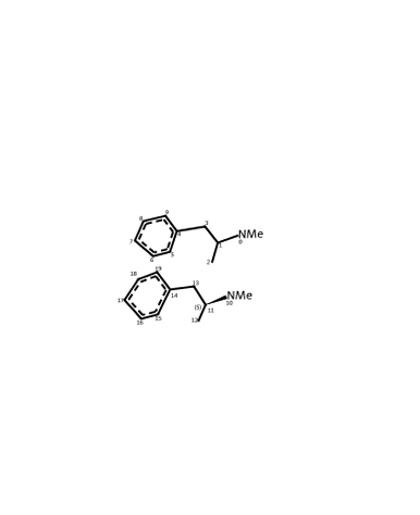 CNC(C)Cc1ccccc1.CN[C@@H](C)Cc1ccccc1